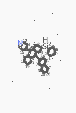 c1ccc([SiH2]c2ccc3c(-c4ccncc4)c4ccccc4c(-c4ccc5ccccc5c4)c3c2)cc1